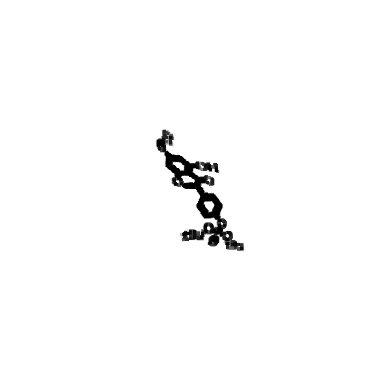 CCOc1cc(O)c2c(=O)c(-c3ccc(OP(=O)(OC(C)(C)C)OC(C)(C)C)cc3)coc2c1